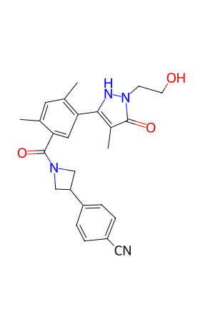 Cc1cc(C)c(-c2[nH]n(CCO)c(=O)c2C)cc1C(=O)N1CC(c2ccc(C#N)cc2)C1